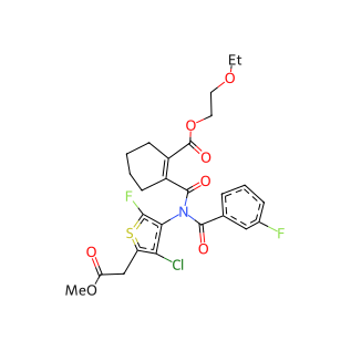 CCOCCOC(=O)C1=C(C(=O)N(C(=O)c2cccc(F)c2)c2c(F)sc(CC(=O)OC)c2Cl)CCCC1